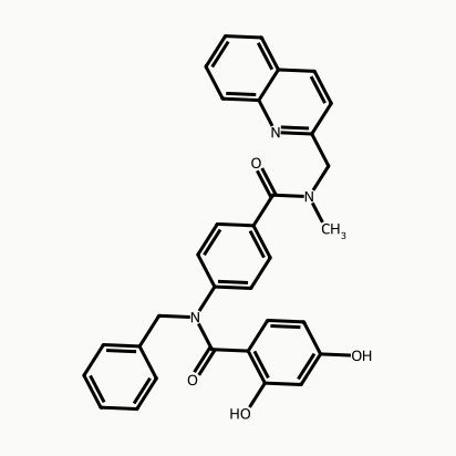 CN(Cc1ccc2ccccc2n1)C(=O)c1ccc(N(Cc2ccccc2)C(=O)c2ccc(O)cc2O)cc1